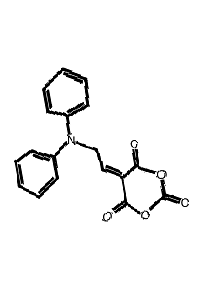 O=C1OC(=O)C(=CCN(c2ccccc2)c2ccccc2)C(=O)O1